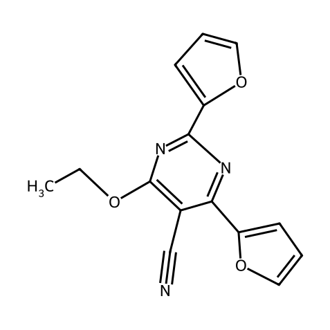 CCOc1nc(-c2ccco2)nc(-c2ccco2)c1C#N